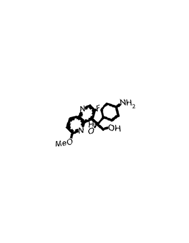 COc1ccc2ncc(F)c([C@@](O)(CO)C3CCC(N)CC3)c2n1